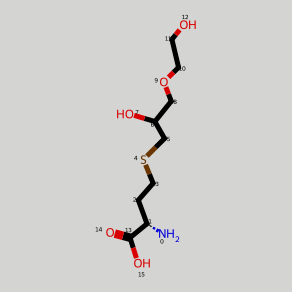 N[C@@H](CCSCC(O)COCCO)C(=O)O